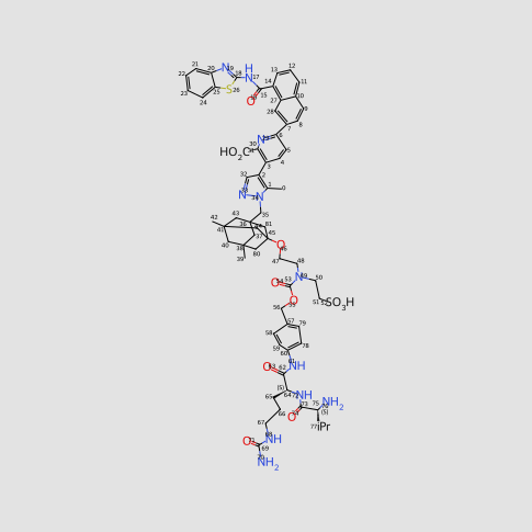 Cc1c(-c2ccc(-c3ccc4cccc(C(=O)Nc5nc6ccccc6s5)c4c3)nc2C(=O)O)cnn1CC12CC3(C)CC(C)(C1)CC(OCCN(CCS(=O)(=O)O)C(=O)OCc1ccc(NC(=O)[C@H](CCCNC(N)=O)NC(=O)[C@@H](N)C(C)C)cc1)(C3)C2